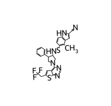 Cc1c(SNC2CN(c3ncnc4sc(CC(F)(F)F)cc34)CC2c2ccccc2)ccc2[nH]c(C#N)cc12